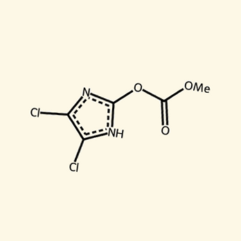 COC(=O)Oc1nc(Cl)c(Cl)[nH]1